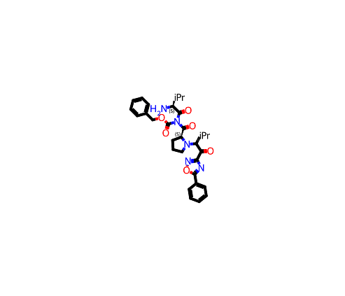 CC(C)C(C(=O)c1noc(-c2ccccc2)n1)N1CCC[C@H]1C(=O)N(C(=O)OCc1ccccc1)C(=O)[C@@H](N)C(C)C